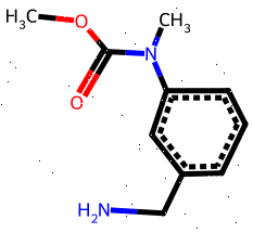 COC(=O)N(C)c1cccc(CN)c1